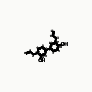 C=CCc1ccc(-c2ccc(O)c(CC=C)c2)cc1O